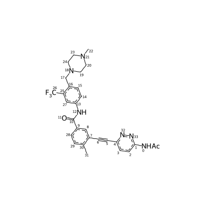 CC(=O)Nc1ccc(C#Cc2cc(C(=O)Nc3ccc(CN4CCN(C)CC4)c(C(F)(F)F)c3)ccc2C)nn1